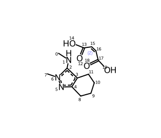 CNc1c2c(nn1C)CCCC2.O=C(O)/C=C\C(=O)O